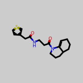 O=C(Cc1ccsc1)NCCC(=O)N1CCCC2CCCC=C21